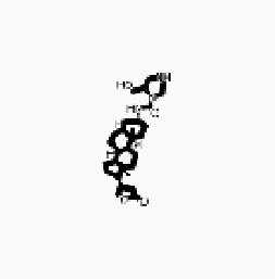 C[C@]12CC[C@H](NC(=O)N3CCNCC3CO)C[C@H]1CC[C@H]1C3=CC[C@H](C4=CC(=O)OC4)[C@@]3(C)CC[C@@H]12